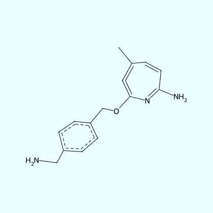 CC1=C=C(OCc2ccc(CN)cc2)N=C(N)C=C1